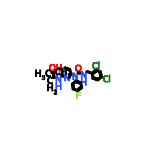 CC(Nc1nccc(N(C(=O)NCc2ccc(Cl)cc2Cl)c2ccc(F)cc2)n1)C(C)(C)O